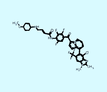 COC1CCC(NC/C=C/C(=O)Nc2c(F)cc(C(=O)c3ccc4c(-c5c(C(F)(F)F)cc6c(nc(C)n6C)c5Cl)cccn34)c(F)c2F)CC1